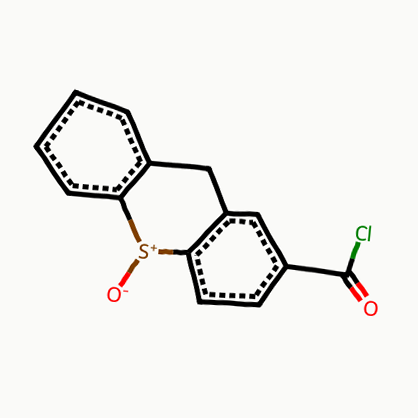 O=C(Cl)c1ccc2c(c1)Cc1ccccc1[S+]2[O-]